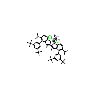 CCC1=Cc2c(ccc(C(C)C)c2-c2cc(C(C)(C)C)cc(C(C)(C)C)c2)[CH]1[Zr]([Cl])([Cl])([CH]1C(CC)=Cc2c1ccc(C(C)C)c2-c1cc(C(C)(C)C)cc(C(C)(C)C)c1)[SiH](C)C